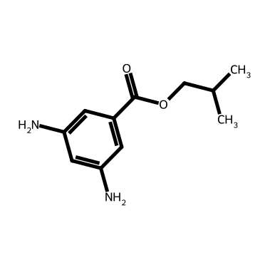 CC(C)COC(=O)c1cc(N)cc(N)c1